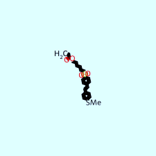 C=CC(=O)OCCCCCCS(=O)(=O)c1ccc(C=Cc2ccc(SC)cc2)cc1